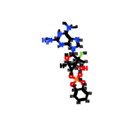 CN(C)c1nc(N)nc2c1ncn2[C@@H]1O[C@@H]2C(OP3(=O)Oc4ccccc4O3)[C@]2(O)[C@@]1(C)F